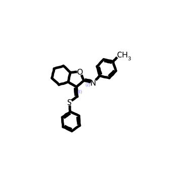 Cc1ccc(/N=C2\OC3CCCCC3\C2=C/Sc2ccccc2)cc1